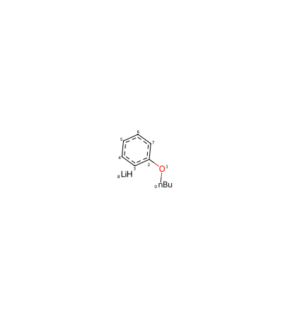 CCCCOc1ccccc1.[LiH]